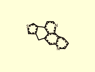 c1cnc2cc3c4c(ccnc4c2c1)-c1cscc1C3